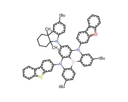 CC(C)(C)c1ccc2c(c1)N(c1ccc3c(c1)oc1ccccc13)c1cc(N3c4ccc(C(C)(C)C)cc4C4(C)CCCCC34C)cc3c1B2c1ccc(C(C)(C)C)cc1N3c1ccc2c(c1)sc1ccccc12